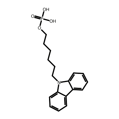 O=P(O)(O)OCCCCCCn1c2ccccc2c2ccccc21